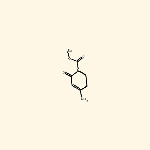 CC(C)(C)OC(=O)N1CCC(N)=CC1=O